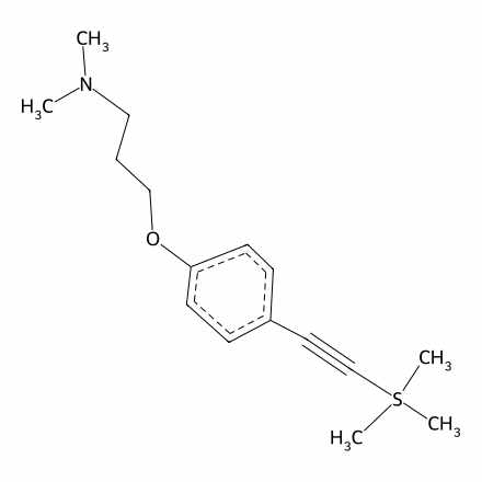 CN(C)CCCOc1ccc(C#CS(C)(C)C)cc1